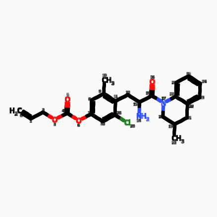 C=CCOC(=O)Oc1cc(C)c(CC(N)C(=O)N2CC(C)Cc3ccccc32)c(Cl)c1